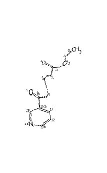 C=COC(=O)CCCC(=O)c1cccnc1